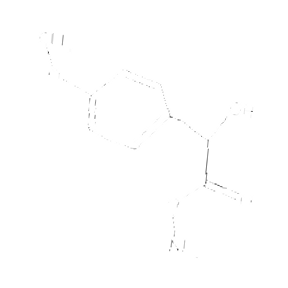 COc1ccc(C(O)C(=O)ON)cc1